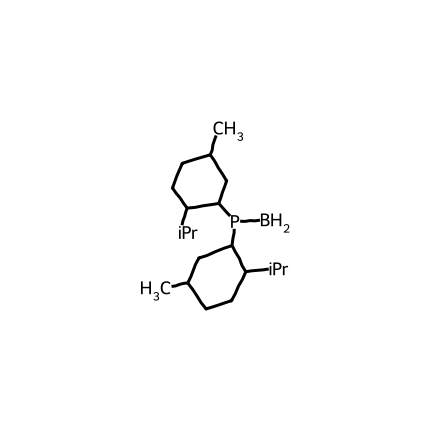 BP(C1CC(C)CCC1C(C)C)C1CC(C)CCC1C(C)C